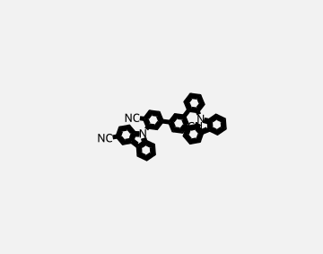 N#Cc1ccc2c(c1)c1ccccc1n2-c1cc(-c2ccc(C#N)c(-c3ccccc3-n3c4ccccc4c4ccccc43)c2)ccc1C#N